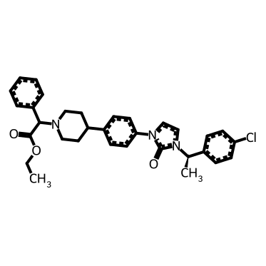 CCOC(=O)C(c1ccccc1)N1CCC(c2ccc(-n3ccn([C@H](C)c4ccc(Cl)cc4)c3=O)cc2)CC1